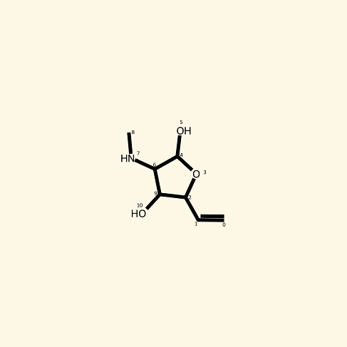 C=CC1OC(O)C(NC)C1O